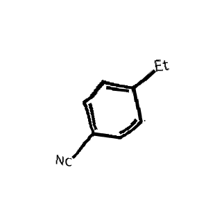 CCc1[c]cc(C#N)cc1